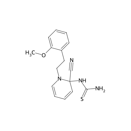 COc1ccccc1CCN1C=CC=CC1(C#N)NC(N)=S